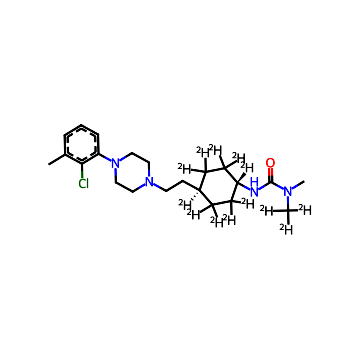 [2H]C([2H])([2H])N(C)C(=O)N[C@]1([2H])C([2H])([2H])C([2H])([2H])[C@@]([2H])(CCN2CCN(c3cccc(C)c3Cl)CC2)C([2H])([2H])C1([2H])[2H]